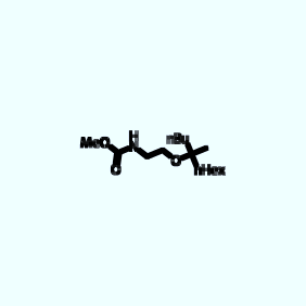 CCCCCCC(C)(CCCC)OCCNC(=O)OC